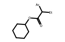 CCC(C(C)=O)C(=O)OC1CCCCC1